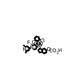 Cc1cc(N2CCC([N+](C)(C3CCc4ccc(OC(=O)O)cc43)S(=O)(=O)c3c(Cl)cccc3C(F)(F)F)CC2)cc(C)n1